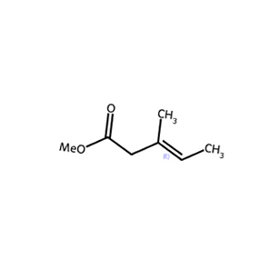 [CH2]OC(=O)C/C(C)=C/C